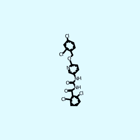 O=C(NC(=O)c1c(Cl)cccc1Cl)Nc1ccc(OCc2ccc(Cl)cc2Cl)nc1